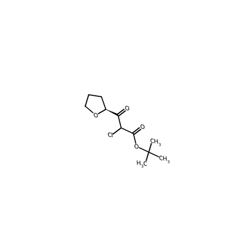 CC(C)(C)OC(=O)C(Cl)C(=O)[C@@H]1CCCO1